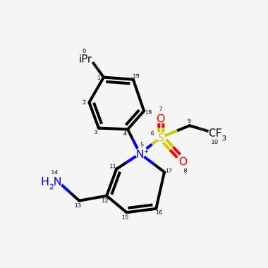 CC(C)c1ccc([N+]2(S(=O)(=O)CC(F)(F)F)C=C(CN)C=CC2)cc1